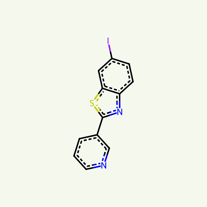 Ic1ccc2nc(-c3cccnc3)sc2c1